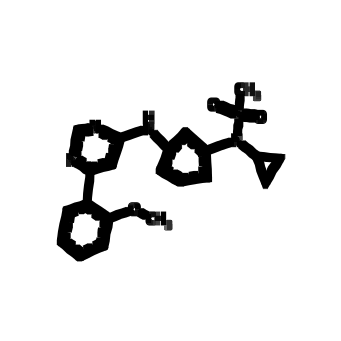 COc1ccccc1-c1cc(Nc2cccc(N(C3CC3)S(C)(=O)=O)c2)ncn1